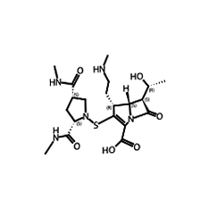 CNCC[C@H]1C(SN2C[C@@H](C(=O)NC)C[C@H]2C(=O)NC)=C(C(=O)O)N2C(=O)[C@H]([C@@H](C)O)[C@@H]12